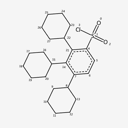 O=S(=O)(Cl)c1ccc(C2CCCCC2)c(C2CCCCC2)c1C1CCCCC1